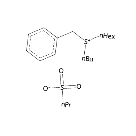 CCCCCC[S+](CCCC)Cc1ccccc1.CCCS(=O)(=O)[O-]